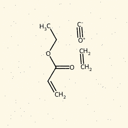 C=C.C=CC(=O)OCC.[C-]#[O+]